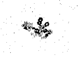 CC(C)(O)c1cnnn1[C@H]1C[C@@H](C(=O)NC(CCCCNC(=O)NC2([SH](=O)=O)CC2)C(=O)C(N)=O)N(C(=O)[C@@H](CC2CCCCC2)NC(=O)c2ccc3ccccc3c2)C1